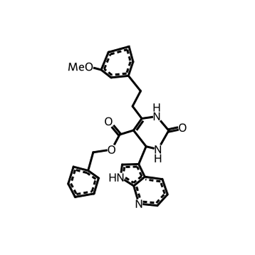 COc1cccc(CCC2=C(C(=O)OCc3ccccc3)C(c3c[nH]c4ncccc34)NC(=O)N2)c1